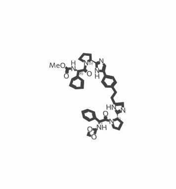 COC(=O)N[C@@H](C(=O)N1CCC[C@H]1c1ncc(-c2ccc(CCc3cnc([C@@H]4CCCN4C(=O)[C@H](NC4OCO4)c4ccccc4)[nH]3)cc2)[nH]1)c1ccccc1